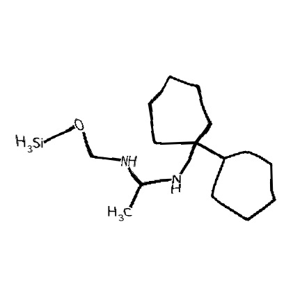 CC(NCO[SiH3])NC1(C2CCCCC2)CCCCC1